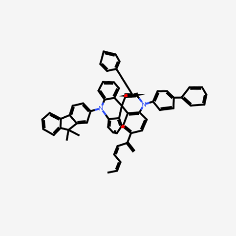 C=C(/C=C\C=C/C)c1ccc2c(c1)C1(c3ccccc3N(c3ccc4c(c3)C(C)(C)c3ccccc3-4)c3ccccc31)c1cc(-c3ccccc3)ccc1N2c1ccc(-c2ccccc2)cc1